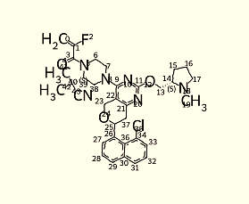 C=C(F)C(=O)N1CCN(c2nc(OC[C@@H]3CCCN3C)nc3c2COC(c2cccc4cccc(Cl)c24)C3)C[C@@H]1C(C)(C)C#N